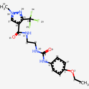 CCOc1ccc(NC(=O)NCCNC(=O)c2cn(C)nc2C(F)(F)F)cc1